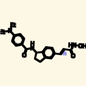 CCN(CC)c1ccc(C(=O)NC2CCc3cc(/C=C/C(=O)NO)ccc32)cc1